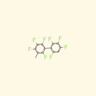 Cc1c(F)c(F)c(F)c(-c2c(F)cc(F)c(F)c2F)c1F